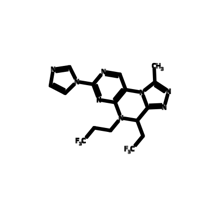 Cc1nnc2n1-c1cnc(-n3ccnc3)nc1N(CCC(F)(F)F)C2CC(F)(F)F